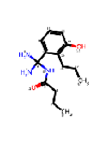 CCCC(=O)NC(N)(N)c1cccc(O)c1CCC